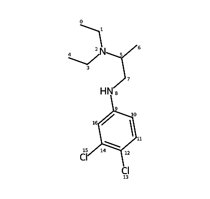 CCN(CC)C(C)CNc1ccc(Cl)c(Cl)c1